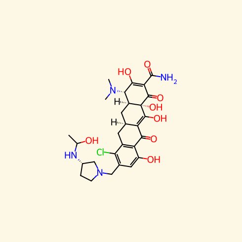 CC(O)N[C@H]1CCN(Cc2cc(O)c3c(c2Cl)C[C@H]2C[C@H]4[C@H](N(C)C)C(O)=C(C(N)=O)C(=O)[C@@]4(O)C(O)=C2C3=O)C1